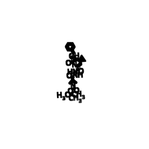 CC(C)(C)OC(=O)N1CC(C(=O)NNC(=O)[C@H]2CC3(CC3)[C@H]3CN2C(=O)N3OCc2ccccc2)C1